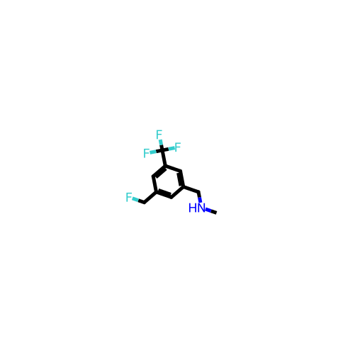 CNCc1cc(CF)cc(C(F)(F)F)c1